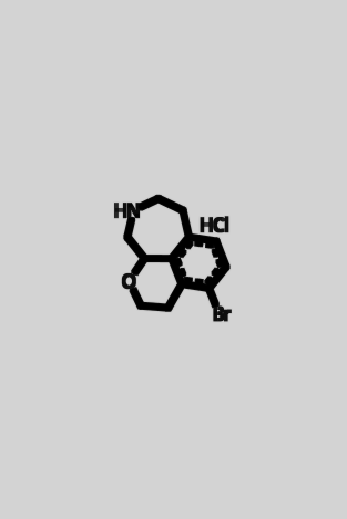 Brc1ccc2c3c1CCOC3CNCC2.Cl